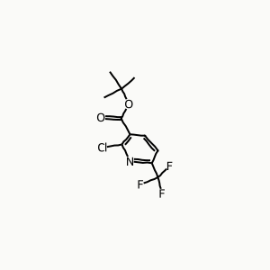 CC(C)(C)OC(=O)c1ccc(C(F)(F)F)nc1Cl